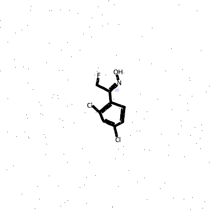 O/N=C(\CF)c1ccc(Cl)cc1Cl